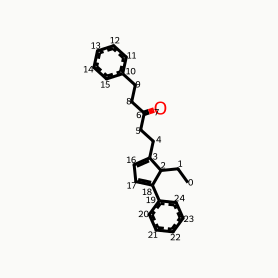 CCC1C(CCC(=O)CCc2ccccc2)=CC=C1c1ccccc1